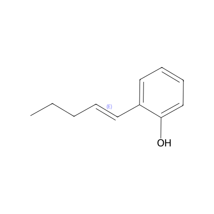 CCC/C=C/c1ccccc1O